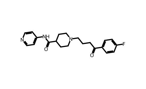 O=C(CCCN1CCC(C(=O)Nc2ccncc2)CC1)c1ccc(F)cc1